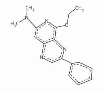 CCOc1nc(N(C)C)nc2ncc(-c3ccccc3)nc12